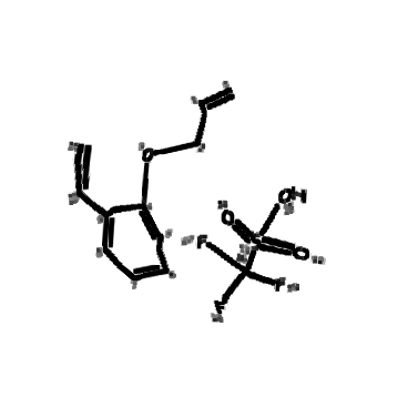 C=CCOc1ccccc1C=C.O=S(=O)(O)C(F)(F)F